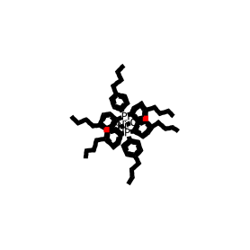 CCCCc1ccc([PH](c2ccc(CCCC)cc2)(c2ccc(CCCC)cc2)[Ni]([Cl])([Cl])[PH](c2ccc(CCCC)cc2)(c2ccc(CCCC)cc2)c2ccc(CCCC)cc2)cc1